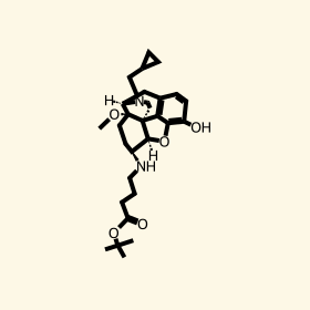 CO[C@@]12CC[C@H](NCCCC(=O)OC(C)(C)C)[C@@H]3Oc4c(O)ccc5c4[C@@]31CCN(CC1CC1)[C@@H]2C5